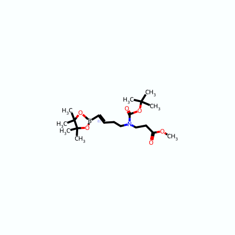 COC(=O)CCN(CC/C=C/B1OC(C)(C)C(C)(C)O1)C(=O)OC(C)(C)C